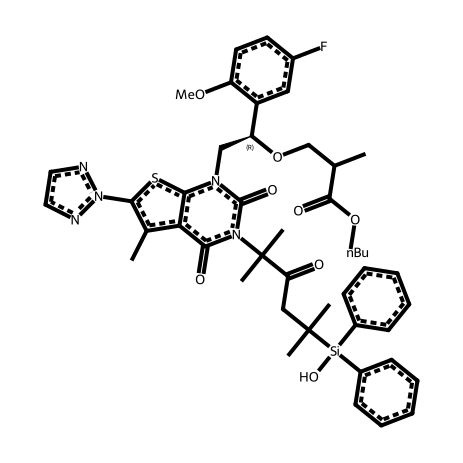 CCCCOC(=O)C(C)CO[C@@H](Cn1c(=O)n(C(C)(C)C(=O)CC(C)(C)[Si](O)(c2ccccc2)c2ccccc2)c(=O)c2c(C)c(-n3nccn3)sc21)c1cc(F)ccc1OC